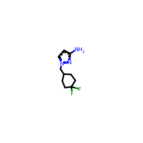 Nc1ccn(CC2CCC(F)(F)CC2)n1